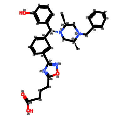 C[C@@H]1CN([C@@H](c2cccc(O)c2)c2cccc(-c3noc(CCCC(=O)O)n3)c2)[C@@H](C)CN1Cc1ccccc1